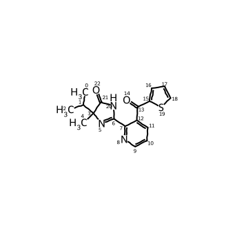 CC(C)C1(C)N=C(c2ncccc2C(=O)c2cccs2)NC1=O